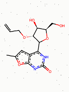 C=CCO[C@H]1C(c2[nH]c(=O)nc3oc(C)cc23)O[C@H](CO)[C@@H]1O